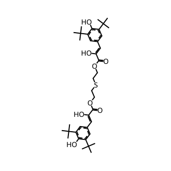 CC(C)(C)c1cc(C=C(O)C(=O)OCCSCCOC(=O)C(O)=Cc2cc(C(C)(C)C)c(O)c(C(C)(C)C)c2)cc(C(C)(C)C)c1O